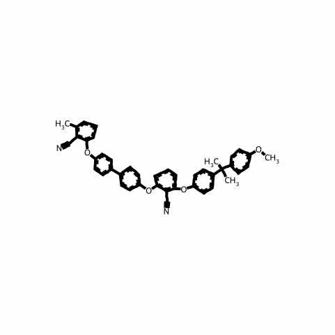 COc1ccc(C(C)(C)c2ccc(Oc3cccc(Oc4ccc(-c5ccc(Oc6cccc(C)c6C#N)cc5)cc4)c3C#N)cc2)cc1